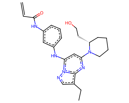 C=CC(=O)Nc1cccc(Nc2cc(N3CCCC[C@H]3CCO)nc3c(CC)cnn23)c1